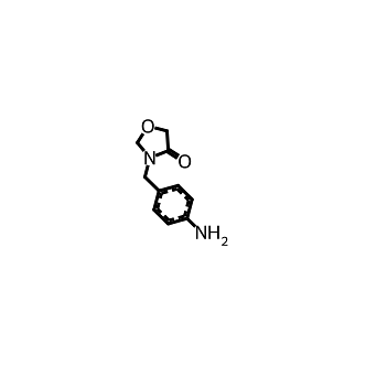 Nc1ccc(CN2COCC2=O)cc1